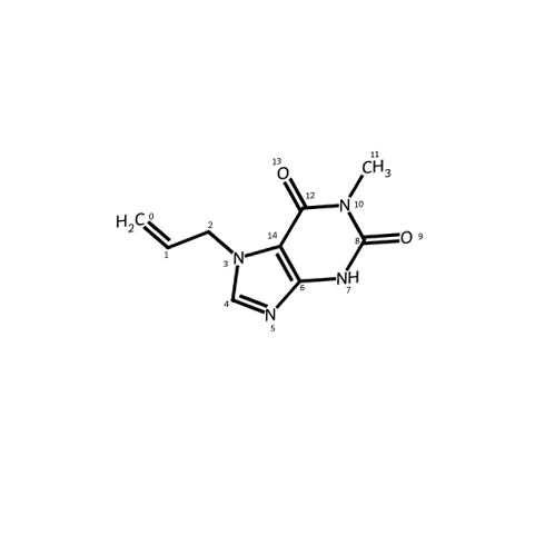 C=CCn1cnc2[nH]c(=O)n(C)c(=O)c21